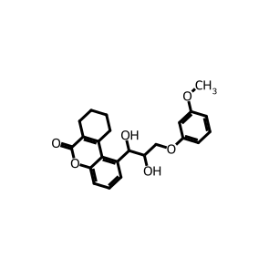 COc1cccc(OCC(O)C(O)c2cccc3oc(=O)c4c(c23)CCCC4)c1